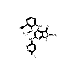 COc1c(C#N)cccc1Nc1cc(Nc2ccc(C)nn2)nc2[nH]n(C)c(=O)c12